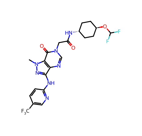 Cn1nc(Nc2ccc(C(F)(F)F)cn2)c2ncn(CC(=O)N[C@H]3CC[C@H](OC(F)F)CC3)c(=O)c21